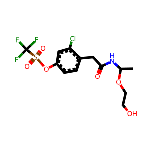 CC(NC(=O)Cc1ccc(OS(=O)(=O)C(F)(F)F)cc1Cl)OCCO